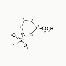 CS(=O)(=O)N1CCC[C@@H](C(=O)O)C1